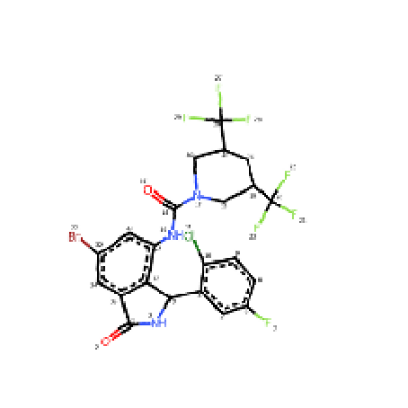 O=C1NC(c2cc(F)ccc2Cl)c2c(NC(=O)N3CC(C(F)(F)F)CC(C(F)(F)F)C3)cc(Br)cc21